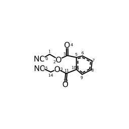 N#CCOC(=O)c1ccccc1C(=O)OCC#N